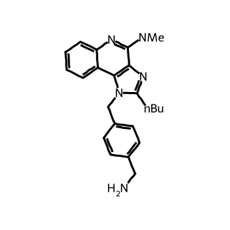 CCCCc1nc2c(NC)nc3ccccc3c2n1Cc1ccc(CN)cc1